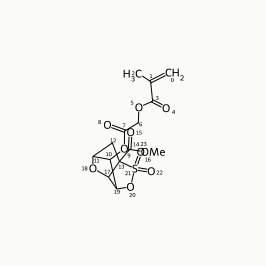 C=C(C)C(=O)OCC(=O)OC1C2CC3(C(=O)OC)C(O2)C1OS3(=O)=O